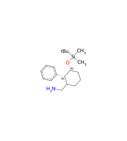 CC(C)(C)[Si](C)(C)O[C@@H]1CCCC(CN)[C@@H]1c1ccccc1